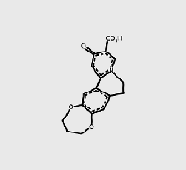 O=C(O)c1cn2c(cc1=O)-c1cc3c(cc1CC2)OCCCO3